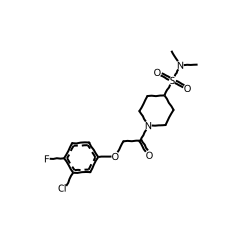 CN(C)S(=O)(=O)C1CCN(C(=O)COc2ccc(F)c(Cl)c2)CC1